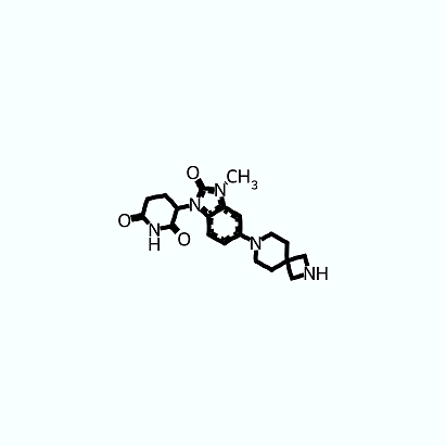 Cn1c(=O)n(C2CCC(=O)NC2=O)c2ccc(N3CCC4(CC3)CNC4)cc21